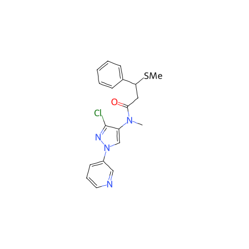 CSC(CC(=O)N(C)c1cn(-c2cccnc2)nc1Cl)c1ccccc1